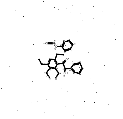 CCc1cc(CC)c(C(=O)C(O)c2ccccc2)c(CC)c1CC.O=[PH2]Oc1ccccc1